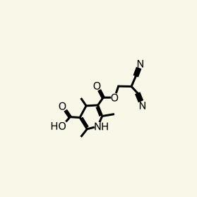 CC1=C(C(=O)O)C(C)C(C(=O)OCC(C#N)C#N)=C(C)N1